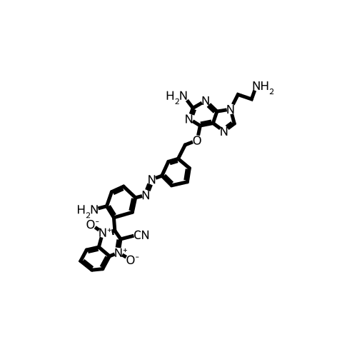 N#Cc1c(-c2cc(/N=N/c3cccc(COc4nc(N)nc5c4ncn5CCN)c3)ccc2N)[n+]([O-])c2ccccc2[n+]1[O-]